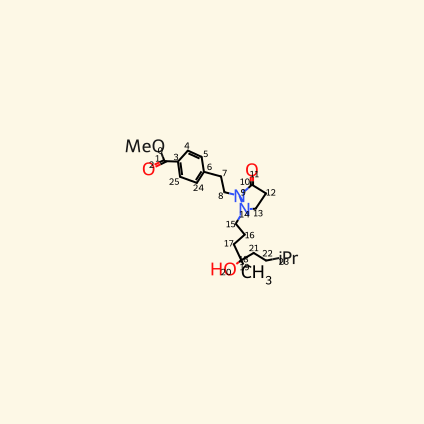 COC(=O)c1ccc(CCN2C(=O)CCN2CCCC(C)(O)CCC(C)C)cc1